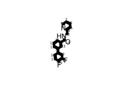 O=C(NCc1ccccn1)c1cccc(-c2ccc(F)c(F)c2)c1